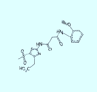 CC(C)COc1ccccc1NC(=O)CC(=O)Nc1nc(CC(=O)O)c(S(C)(=O)=O)s1